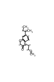 CCC(C)c1ccc2c(c1)OCC(=O)N2CCOC